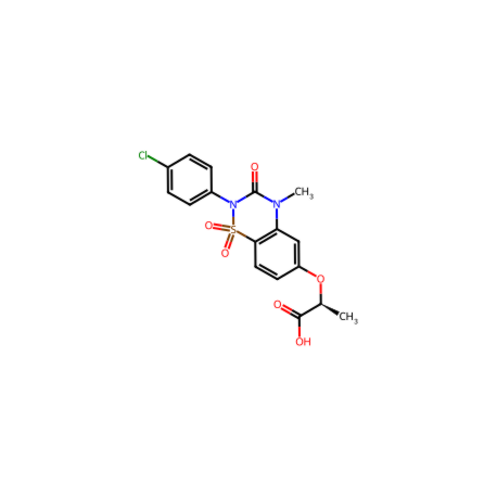 C[C@H](Oc1ccc2c(c1)N(C)C(=O)N(c1ccc(Cl)cc1)S2(=O)=O)C(=O)O